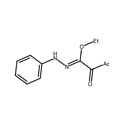 CCOC(=NNc1ccccc1)C(=O)C(C)=O